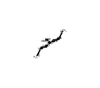 C=CC(=O)OCCCCOC(=O)C1CCC(C(=O)OC2CCC(C(=O)Oc3ccc(OC(=O)C4CCC(OC(=O)C5CCC(C(=O)OCCCCOC(=O)C=C)CC5)CC4)c4c3SC(=C(C#N)C(=O)OCCCC)S4)CC2)CC1